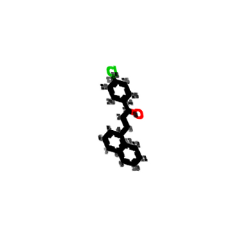 O=C(C=Cc1cccc2ccccc12)c1ccc(Cl)cc1